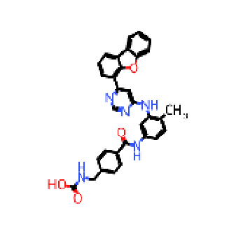 Cc1ccc(NC(=O)c2ccc(CNC(=O)O)cc2)cc1Nc1cc(-c2cccc3c2oc2ccccc23)ncn1